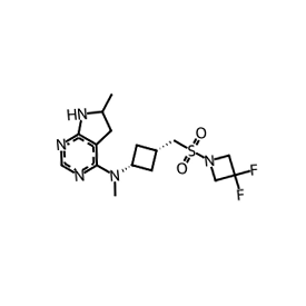 CC1Cc2c(ncnc2N(C)[C@H]2C[C@@H](CS(=O)(=O)N3CC(F)(F)C3)C2)N1